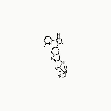 Cc1cccc(-c2[nH]cnc2-c2ccc3ncc(NC(=O)[C@H]4CN5CCN4CC5)cc3c2)n1